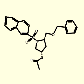 CC(=O)S[C@H]1C[C@H](COCc2ccccc2)N(S(=O)(=O)c2ccc3ccccc3c2)C1